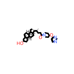 C[C@H](CCC(=O)N1CCC(Oc2ccncn2)CC1)[C@H]1CC[C@H]2[C@@H]3CC=C4C[C@@H](O)CC[C@]4(C)[C@H]3CC[C@]12C